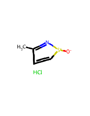 Cc1cc[s+]([O-])n1.Cl